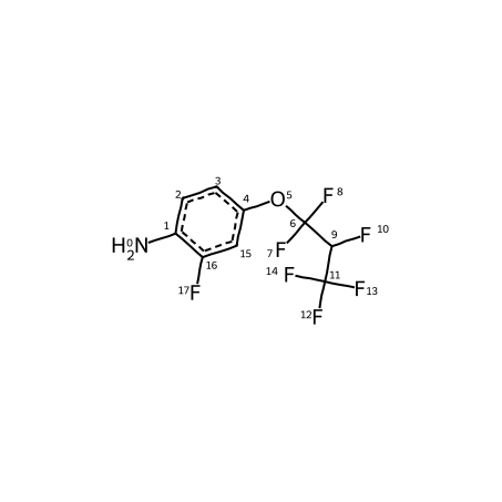 Nc1ccc(OC(F)(F)C(F)C(F)(F)F)cc1F